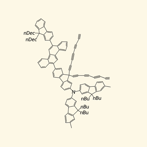 C#CC#CC#CC#CC1(C#CC#CC#CC#C)c2cc(-c3cc4c5ccccc5c(-c5ccc6c(c5)C(CCCCCCCCCC)(CCCCCCCCCC)c5ccccc5-6)cc4c4ccccc34)ccc2-c2ccc(N(c3ccc4c(c3)C(CCCC)(CCCC)c3cc(C)ccc3-4)c3ccc4c(c3)C(CCCC)(CCCC)c3cc(C)ccc3-4)cc21